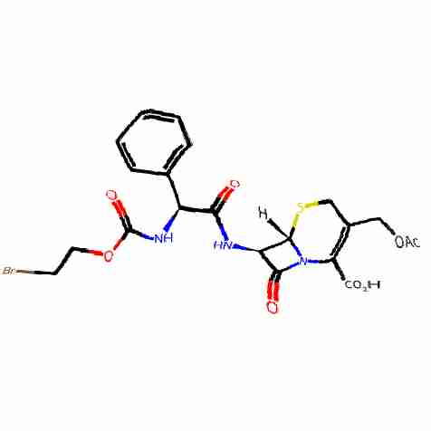 CC(=O)OCC1=C(C(=O)O)N2C(=O)[C@@H](NC(=O)[C@@H](NC(=O)OCCBr)c3ccccc3)[C@@H]2SC1